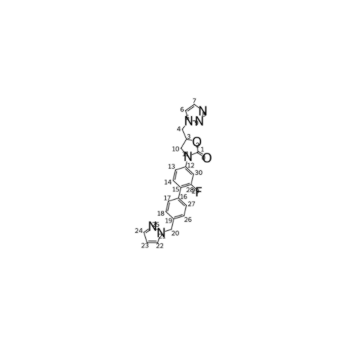 O=C1OC(Cn2ccnn2)CN1c1ccc(-c2ccc(Cn3cccn3)cc2)c(F)c1